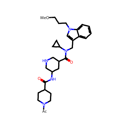 COCCCn1cc(CN(C(=O)C2CNCC(NC(=O)C3CCN(C(C)=O)CC3)C2)C2CC2)c2ccccc21